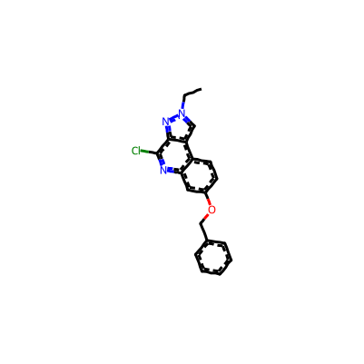 CCn1cc2c(n1)c(Cl)nc1cc(OCc3ccccc3)ccc12